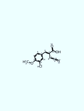 COc1ccc(/C=C(\N=[N+]=[N-])C(=O)O)cc1Cl